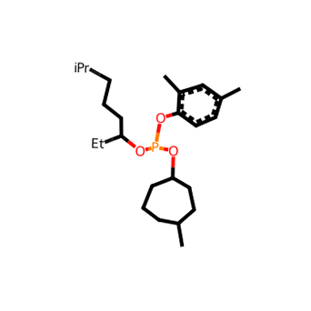 CCC(CCCC(C)C)OP(Oc1ccc(C)cc1C)OC1CCCC(C)CC1